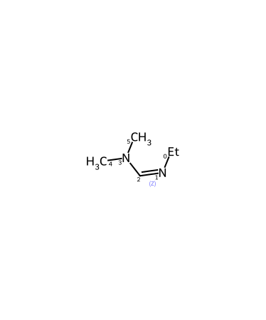 CC/N=C\N(C)C